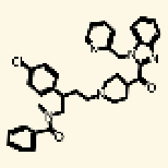 CN(CC(CCN1CCC(C(=O)c2nc3ccccc3n2Cc2ccccn2)CC1)c1ccc(Cl)cc1)C(=O)c1ccccc1